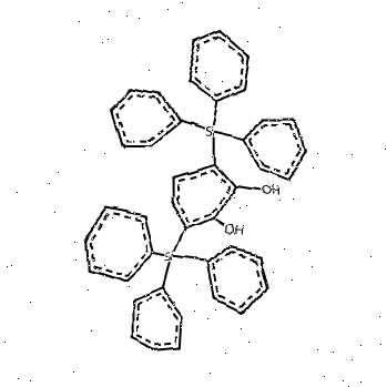 Oc1c([Si](c2ccccc2)(c2ccccc2)c2ccccc2)ccc([Si](c2ccccc2)(c2ccccc2)c2ccccc2)c1O